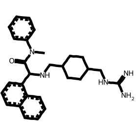 CN(C(=O)C(NCC1CCC(CNC(=N)N)CC1)c1cccc2ccccc12)c1ccccc1